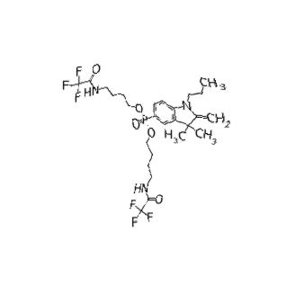 C=C1N(CCC)c2ccc(P(=O)(OCCCCNC(=O)C(F)(F)F)OCCCCNC(=O)C(F)(F)F)cc2C1(C)C